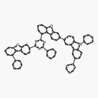 c1ccc(-c2ccc3c(c2)c2cc(-c4ccc5c(c4)oc4cccc(-c6nc(-c7ccccc7)nc(-c7ccc8c(c7)oc7cccc(-c9ccccc9)c78)n6)c45)ccc2n3-c2ccccc2)cc1